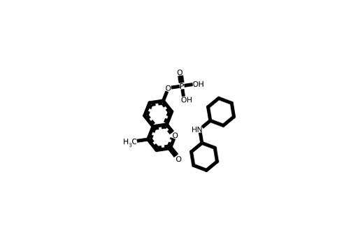 C1CCC(NC2CCCCC2)CC1.Cc1cc(=O)oc2cc(OP(=O)(O)O)ccc12